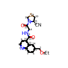 CCOCc1ccc2nccc(C(=O)NCC(=O)N3CSC[C@H]3C#N)c2c1